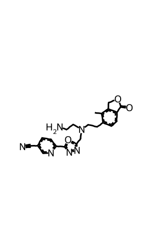 Cc1c(CCN(CCN)Cc2nnc(-c3ccc(C#N)cn3)o2)ccc2c1COC2=O